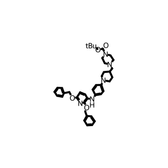 CC(C)(C)OC(=O)N1CCN(CC2CCN(c3ccc(Nc4ccc(OCc5ccccc5)nc4OCc4ccccc4)cc3)CC2)CC1